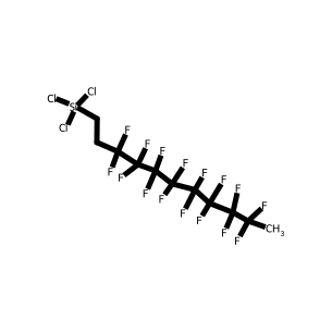 CC(F)(F)C(F)(F)C(F)(F)C(F)(F)C(F)(F)C(F)(F)C(F)(F)C(F)(F)CC[Si](Cl)(Cl)Cl